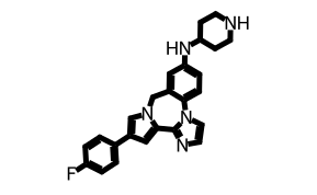 Fc1ccc(-c2cc3n(c2)Cc2cc(NC4CCNCC4)ccc2-n2ccnc2-3)cc1